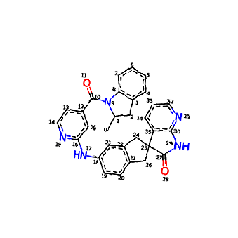 CC1Cc2ccccc2N1C(=O)c1ccnc(Nc2ccc3c(c2)CC2(C3)C(=O)Nc3ncccc32)c1